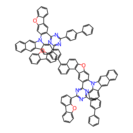 c1ccc(-c2ccc(-c3nc(-c4cc5c(cc4-n4c6cc7ccccc7cc6c6cc7cc(-c8cccc9c8ccc8oc%10cc(-n%11c%12ccccc%12c%12cc%13ccccc%13cc%12%11)c(-c%11nc(-c%12cccc(-c%13ccccc%13)c%12)nc(-c%12cccc%13c%12oc%12ccccc%12%13)n%11)cc%10c89)ccc7cc64)oc4ccccc45)nc(-c4cccc5c4oc4ccccc45)n3)cc2)cc1